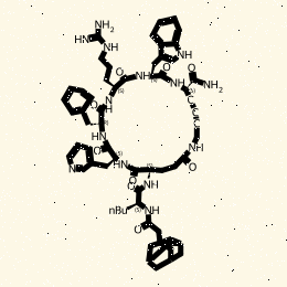 CCCC[C@H](NC(=O)CC12CC3CC(CC(C3)C1)C2)C(=O)N[C@H]1CCC(=O)NCCCC[C@@H](C(N)=O)NC(=O)[C@H](Cc2c[nH]c3ccccc23)NC(=O)[C@H](CCCNC(=N)N)NC(=O)[C@@H](Cc2ccccc2)NC(=O)[C@H](Cc2cccnc2)NC1=O